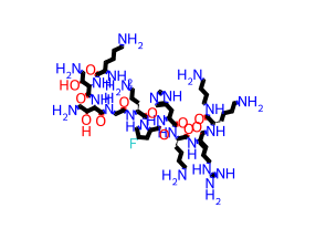 N=C(N)NCC/C=C(\NC(=O)[C@H](CCCCN)NC(=O)C(Cc1cnc[nH]1)NC(=O)C1C[C@@H](F)CN1C(=O)[C@@H](CCCN)NC(=O)CNC(=O)[C@@H](NC(=O)[C@@H](NC(=O)C(N)CCCCN)[C@@H](O)CN)[C@@H](O)CN)C(=O)N[C@@H](CCCCN)C(=O)NCCCCN